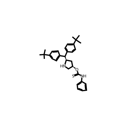 CC(C)(C)c1ccc(C(c2ccc(C(C)(C)C)cc2)[C@H]2C[C@@H](OC(=S)Nc3ccccc3)CN2)cc1